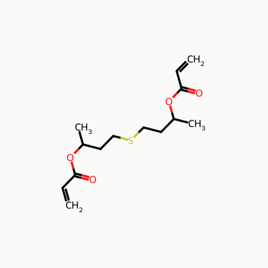 C=CC(=O)OC(C)CCSCCC(C)OC(=O)C=C